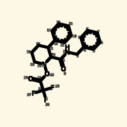 O=C(NCc1ccccc1)C1C(c2ccccc2)CCCN1OC(=O)C(F)(F)F